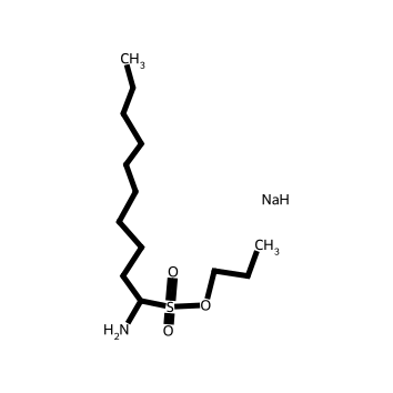 CCCCCCCCCC(N)S(=O)(=O)OCCC.[NaH]